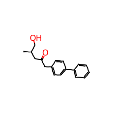 C[C@@H](CO)CC(=O)Cc1ccc(-c2ccccc2)cc1